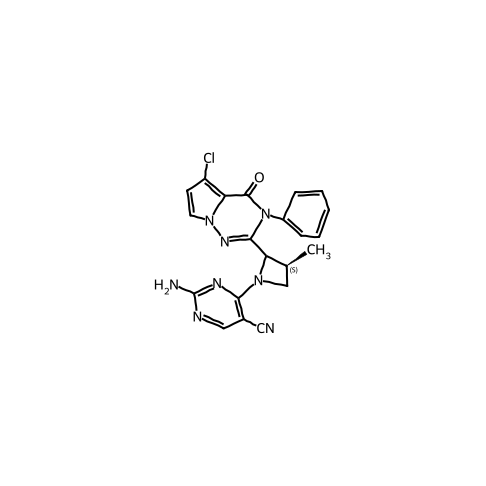 C[C@H]1CN(c2nc(N)ncc2C#N)C1c1nn2ccc(Cl)c2c(=O)n1-c1ccccc1